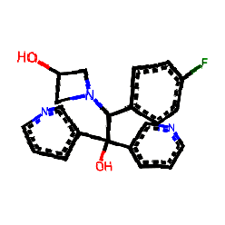 OC1CN(C(c2ccc(F)cc2)C(O)(c2cccnc2)c2cccnc2)C1